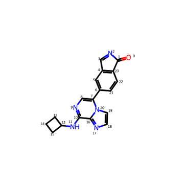 O=C1N=Cc2cc(-c3cnc(NC4CCC4)c4nccn34)ccc21